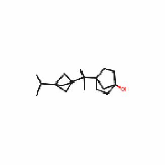 CC(C)C12CC(C(C)(C)C34CCC(O)(CC3)C4)(C1)C2